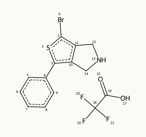 Brc1sc(-c2ccccc2)c2c1CNC2.O=C(O)C(F)(F)F